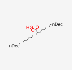 CCCCCCCCCCCCCCCCCCC(CCCCCCCCCCCCCCCC)C(=O)OO